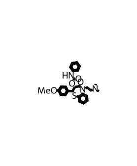 COc1ccc(C2Sc3ccccc3N(CCN(C)C)C(=O)C2OC(=O)Nc2ccccc2)cc1